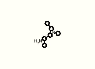 Nc1ccc(-c2ccc3c(c2)c2cc(-c4ccccc4)ccc2n3-c2ccccc2)cc1-c1ccccc1